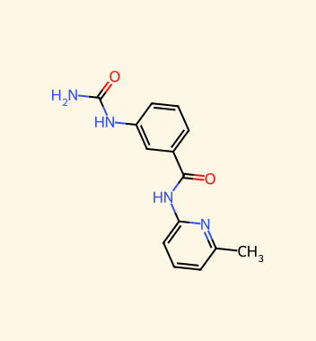 Cc1cccc(NC(=O)c2cccc(NC(N)=O)c2)n1